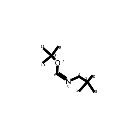 CC(C)(C)C/N=C\OC(C)(C)C